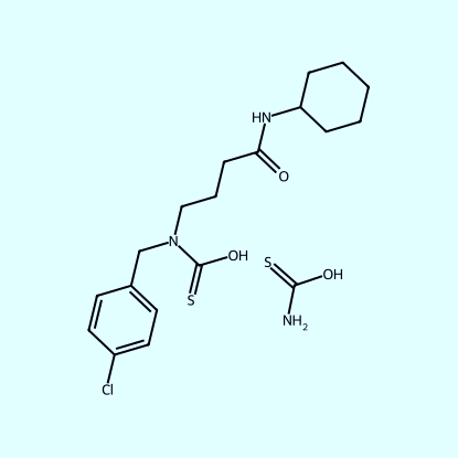 NC(O)=S.O=C(CCCN(Cc1ccc(Cl)cc1)C(O)=S)NC1CCCCC1